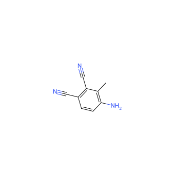 Cc1c(N)ccc(C#N)c1C#N